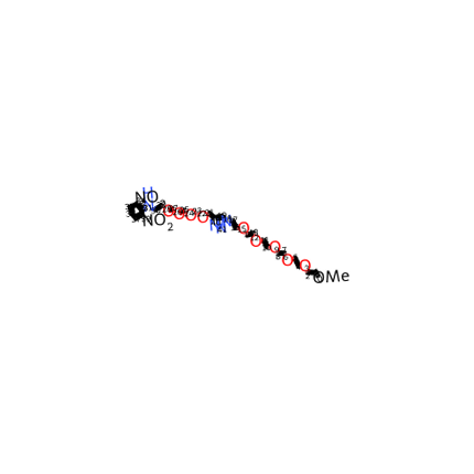 COCCOCCOCCOCCOCCOCCn1cc(COCOCOCOCCNc2c([N+](=O)[O-])cccc2[N+](=O)[O-])nn1